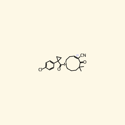 CC1(C)CCCN(C(=O)C2(c3ccc(Cl)cc3)CC2)CC/C=C(/C#N)C1=O